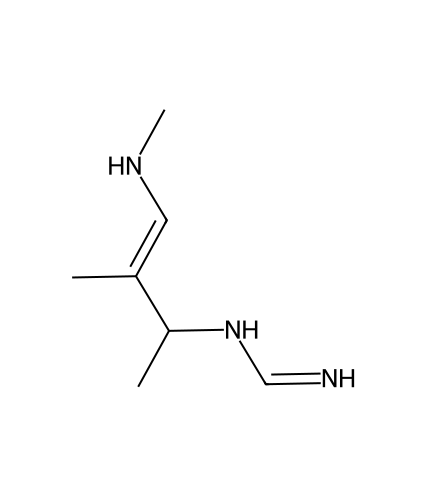 CN/C=C(\C)C(C)NC=N